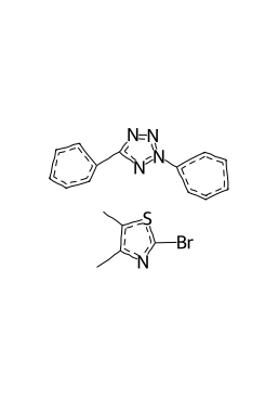 Cc1nc(Br)sc1C.c1ccc(-c2nnn(-c3ccccc3)n2)cc1